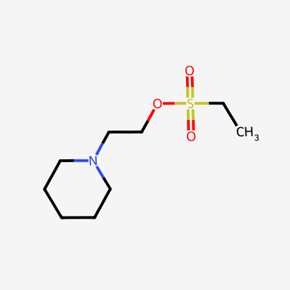 CCS(=O)(=O)OCCN1CCCCC1